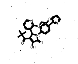 CC(C)(C)C(=O)C1=C(O)C(=O)N(c2ccc(-c3cccs3)cc2)C1c1cccnc1OCCO